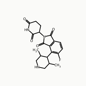 CC1CNCC(C)C1c1c(F)ccc2c1C(=O)N(C1CCC(=O)NC1=O)C2=O